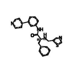 O=C(Nc1cccc(-c2ccncc2)c1)[C@H](Cc1ccccc1)NCc1cncs1